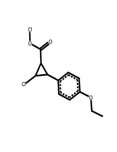 CCOc1ccc(C2C(Cl)C2C(=O)OCl)cc1